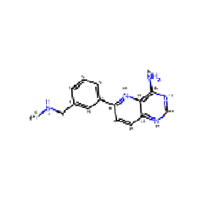 CC(C)NCc1cccc(-c2ccc3ncnc(N)c3n2)c1